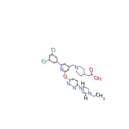 CCN1C[C@@H]2C[C@H]1CN2c1ccc(Oc2cc(CN3CCC(CC(=O)O)CC3)cc(-c3cc(Cl)cc(Cl)c3)n2)nn1